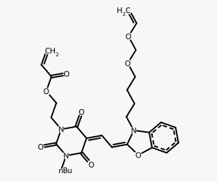 C=COCOCCCCN1/C(=C\C=C2/C(=O)N(CCCC)C(=O)N(CCOC(=O)C=C)C2=O)Oc2ccccc21